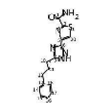 NC(=O)c1nc(-c2n[nH]c([CH]CCc3ccccc3)n2)cs1